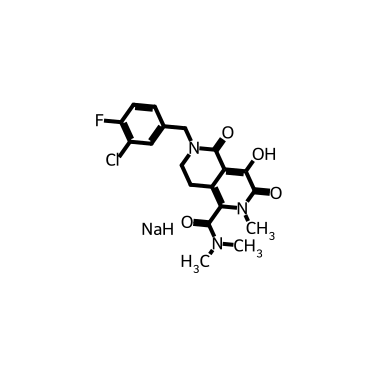 CN(C)C(=O)c1c2c(c(O)c(=O)n1C)C(=O)N(Cc1ccc(F)c(Cl)c1)CC2.[NaH]